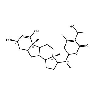 CC1=C(C(C)O)C(=O)OC([C@@H](C)C2CCC3C4CC5C[C@@H](O)C=C(O)[C@]5(C)C4CC[C@@]32C)C1